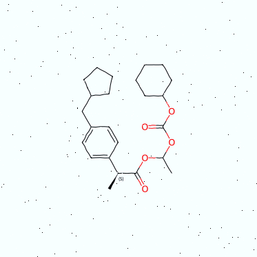 CC(OC(=O)OC1CCCCC1)OC(=O)[C@@H](C)c1ccc(CC2CCCC2)cc1